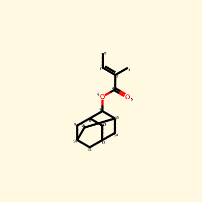 CC=C(C)C(=O)OC1C2CC3CC(C2)CC1C3